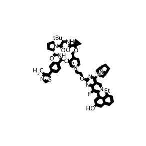 CCc1cccc2cc(O)cc(-c3ncc4c(N5CC6CCC(C5)N6)nc(OCCN5CCC(COC6(C(=O)N[C@H](C(=O)N7CCC[C@H]7C(=O)N[C@@H](C)c7ccc(-c8scnc8C)cc7)C(C)(C)C)CC6)CC5)nc4c3F)c12